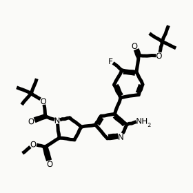 COC(=O)C1CC(c2cnc(N)c(-c3ccc(C(=O)OC(C)(C)C)c(F)c3)c2)CN1C(=O)OC(C)(C)C